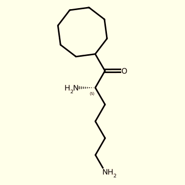 NCCCC[C@H](N)C(=O)C1CCCCCCC1